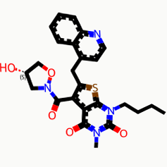 CCCCn1c(=O)n(C)c(=O)c2c(C(=O)N3C[C@H](O)CO3)c(Cc3ccnc4ccccc34)sc21